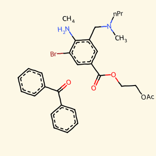 C.CCCN(C)Cc1cc(C(=O)OCCOC(C)=O)cc(Br)c1N.O=C(c1ccccc1)c1ccccc1